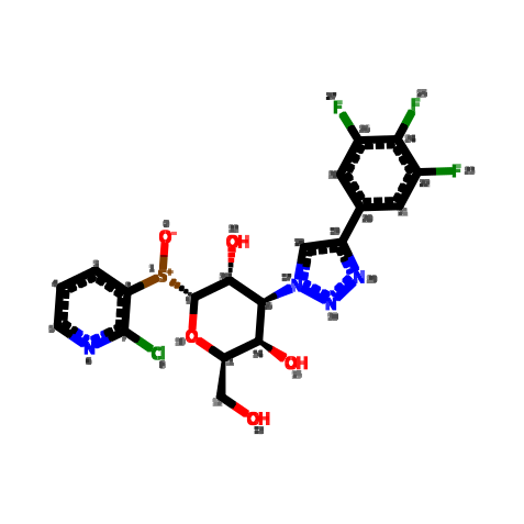 [O-][S+](c1cccnc1Cl)[C@H]1O[C@H](CO)[C@H](O)[C@H](n2cc(-c3cc(F)c(F)c(F)c3)nn2)[C@H]1O